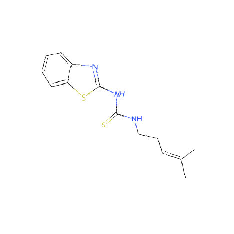 CC(C)=CCCNC(=S)Nc1nc2ccccc2s1